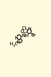 Cn1ccc2c(NC(=O)c3cc(Br)cnc3Cl)ccnc21